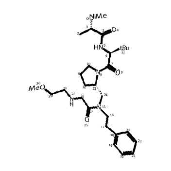 CN[C@@H](C)C(=O)N[C@H](C(=O)N1CCC[C@H]1CN(CCc1ccccc1)C(=O)CNCCOC)C(C)(C)C